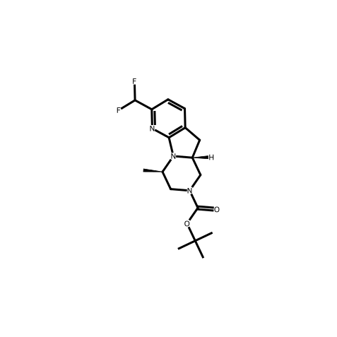 C[C@@H]1CN(C(=O)OC(C)(C)C)C[C@H]2Cc3ccc(C(F)F)nc3N21